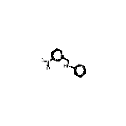 O=[N+]([O-])c1cccc(CNc2ccccc2)c1